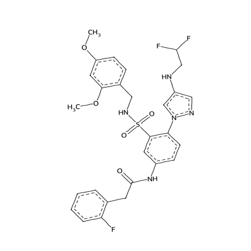 COc1ccc(CNS(=O)(=O)c2cc(NC(=O)Cc3ccccc3F)ccc2-n2cc(NCC(F)F)cn2)c(OC)c1